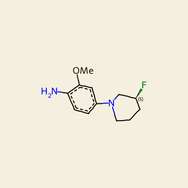 COc1cc(N2CCC[C@H](F)C2)ccc1N